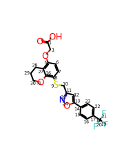 O=C(O)COc1ccc(SCc2cc(-c3ccc(C(F)(F)F)cc3)on2)c2c1CCCO2